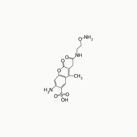 Cc1c(CC(=O)NCCON)c(=O)oc2cc(N)c(S(=O)(=O)O)cc12